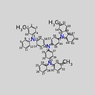 Cc1cccc(N(c2ccccc2)c2ccc(N(c3ccc(N(c4ccccc4)c4cccc(C)c4)cc3)c3ccc(-n4c5ccccc5c5ccc(C)cc54)cc3)cc2)c1